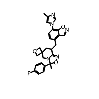 Cc1cn(-c2ccc(CC3CC4(COC4)CN4C3=NOC4(C)c3ccc(F)cc3)c3cnoc23)cn1